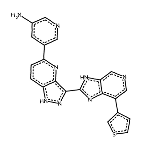 Nc1cncc(-c2ccc3[nH]nc(-c4nc5c(-c6ccsc6)cncc5[nH]4)c3n2)c1